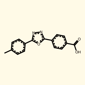 Cc1ccc(-c2nnc(-c3ccc(C(=O)O)cc3)o2)cc1